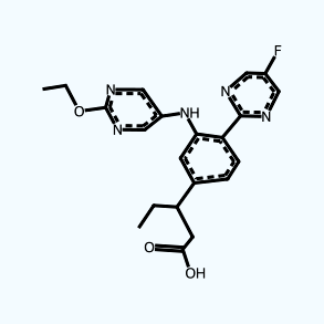 CCOc1ncc(Nc2cc(C(CC)CC(=O)O)ccc2-c2ncc(F)cn2)cn1